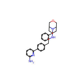 Nc1cccc(-c2ccc(CCNC3CC4COCC(C3)N4Cc3ccccc3)cc2)n1